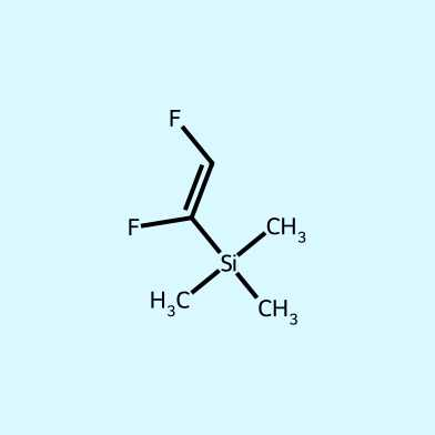 C[Si](C)(C)C(F)=CF